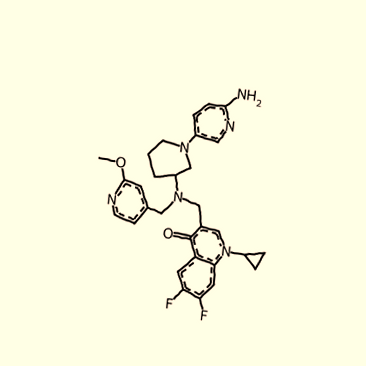 COc1cc(CN(Cc2cn(C3CC3)c3cc(F)c(F)cc3c2=O)C2CCCN(c3ccc(N)nc3)C2)ccn1